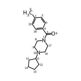 Cc1ccc(C(=O)N2CCN(C3CCCC3)CC2)cc1